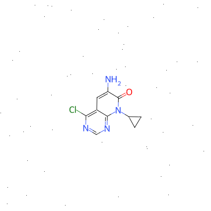 Nc1cc2c(Cl)ncnc2n(C2CC2)c1=O